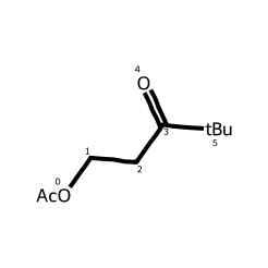 CC(=O)OCCC(=O)C(C)(C)C